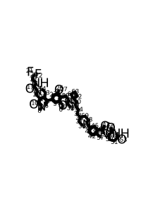 COc1cc(-c2cn(C)c(=O)c3c2CCN(C(=O)NCC(F)F)C3)cc(OC)c1CN1CCN(CCC2CCN(c3ccc4c(c3)C(=O)N(C3CCC(=O)NC3=O)C4)CC2)CC12CCC2